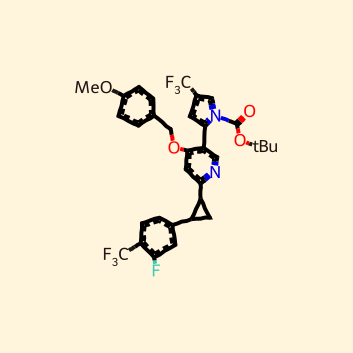 COc1ccc(COc2cc(C3CC3c3ccc(C(F)(F)F)c(F)c3)ncc2-c2cc(C(F)(F)F)cn2C(=O)OC(C)(C)C)cc1